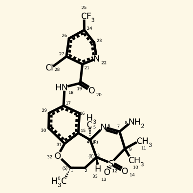 C[C@H]1C[C@@H]2[C@](C)(N=C(N)C(C)(C)S2(=O)=O)c2cc(NC(=O)c3ncc(C(F)(F)F)cc3Cl)ccc2O1